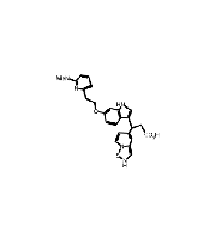 CNc1cccc(CCOc2ccc3c(C(CC(=O)O)C4=CC5=CNSN5C=C4)c[nH]c3c2)n1